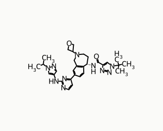 CC(C)n1cc(Nc2nccc(-c3ccc4c(c3)CN(C3COC3)CC[C@@H]4NC(=O)c3cn(C(C)(C)C)nn3)n2)cn1